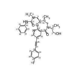 CC(CO)N1C[C@H](C)[C@H](CN(C)C(=O)Nc2ccccc2)Oc2ncc(C#Cc3ccc(F)cc3)cc2C1=O